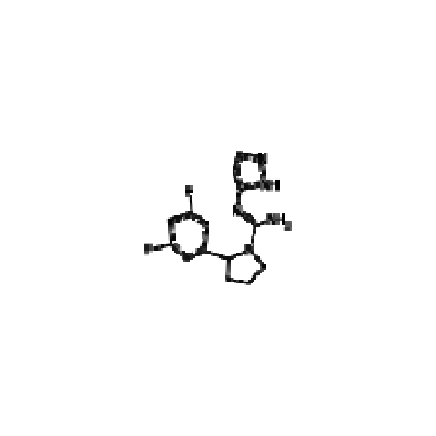 NC(=Nc1ccn[nH]1)N1CCCC1c1cc(F)cc(F)c1